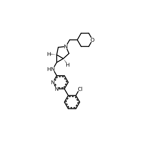 Clc1ccccc1-c1ccc(NC2[C@H]3CN(CC4CCOCC4)C[C@@H]23)nn1